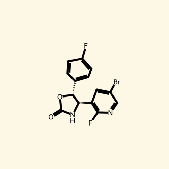 O=C1N[C@H](c2cc(Br)cnc2F)[C@@H](c2ccc(F)cc2)O1